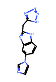 c1cn(-c2ccc3[nH]c(Cc4nnn[nH]4)nc3c2)cn1